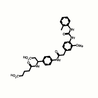 COc1cc(CC(=O)Nc2ccc(C(CC(=O)O)NC(=O)CCCC(=O)O)cc2)ccc1NC(=O)Nc1ccccc1C